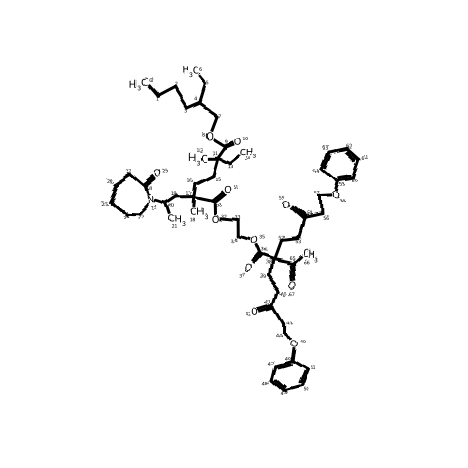 CCCCC(CC)COC(=O)C(C)(CC)CCC(C)(CC(C)N1CCCCCC1=O)C(=O)OCCOC(=O)C(CCC(=O)CCOc1ccccc1)(CCC(=O)CCOc1ccccc1)C(C)=O